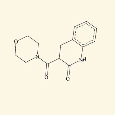 O=C1Nc2ccccc2CC1C(=O)N1CCOCC1